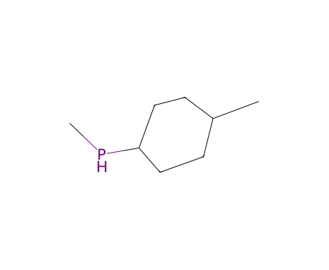 CPC1CCC(C)CC1